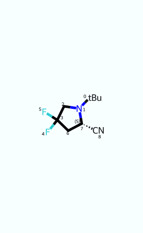 CC(C)(C)N1CC(F)(F)C[C@H]1C#N